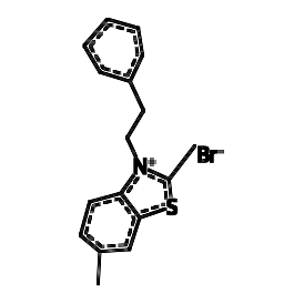 Cc1ccc2c(c1)sc(C)[n+]2CCc1ccccc1.[Br-]